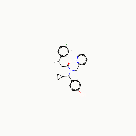 CC(CC(=O)N(Cc1ccccn1)C(c1ccc(O)cc1)C1CC1)c1ccc(F)cc1